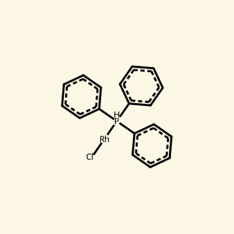 [Cl][Rh][PH](c1ccccc1)(c1ccccc1)c1ccccc1